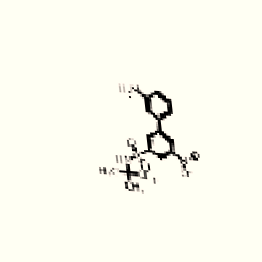 CC(C)(C)NS(=O)(=O)c1cc(-c2cccc(N)c2)cc([N+](=O)[O-])c1